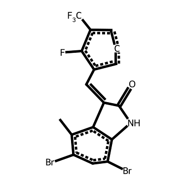 Cc1c(Br)cc(Br)c2c1C(=Cc1cccc(C(F)(F)F)c1F)C(=O)N2